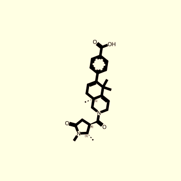 C[C@H]1[C@H](C(=O)N2CC=C3C(C)(C)C(c4ccc(C(=O)O)cc4)=CC[C@]3(C)C2)CC(=O)N1C